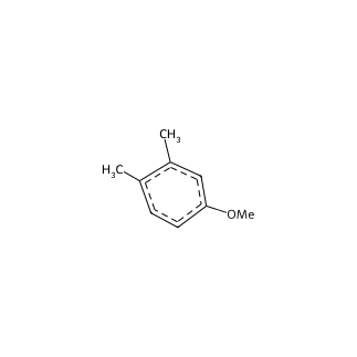 [CH2]Oc1ccc(C)c(C)c1